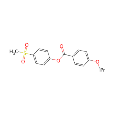 CC(C)Oc1ccc(C(=O)Oc2ccc(S(C)(=O)=O)cc2)cc1